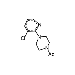 CC(=O)N1CCN(c2ncccc2Cl)CC1